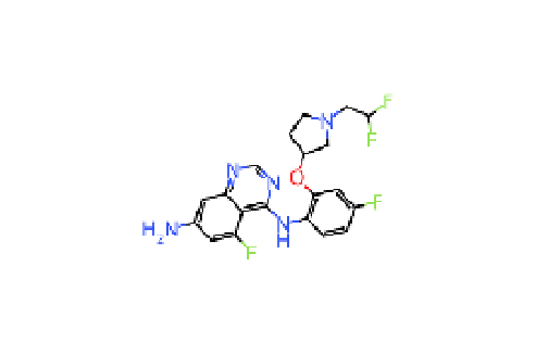 Nc1cc(F)c2c(Nc3ccc(F)cc3OC3CCN(CC(F)F)C3)ncnc2c1